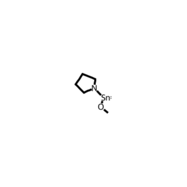 C[O][Sn][N]1CCCC1